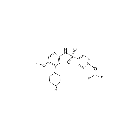 COc1ccc(NS(=O)(=O)c2ccc(OC(F)F)cc2)cc1N1CCNCC1